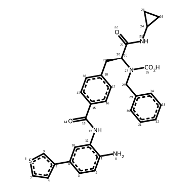 Nc1ccc(-c2ccsc2)cc1NC(=O)c1ccc(C[C@@H](C(=O)NC2CC2)N(Cc2ccccc2)C(=O)O)cc1